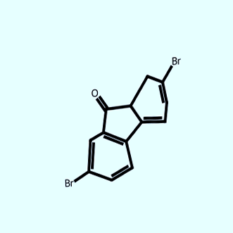 O=C1c2cc(Br)ccc2C2=CC=C(Br)CC12